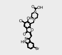 O=C1C(=Cc2n[nH]c3ccc(Br)cc23)Oc2c1cc(Cl)c(O)c2CN1CCN(C(=O)O)CC1